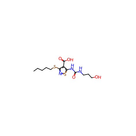 CCCCCSc1nsc(NC(=O)NCCCO)c1C(=O)O